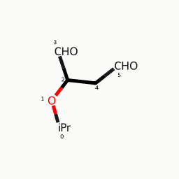 CC(C)OC(C=O)CC=O